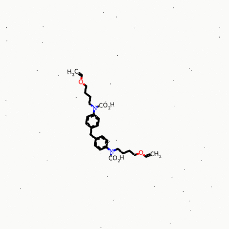 C=COCCCCN(C(=O)O)c1ccc(Cc2ccc(N(CCCCOC=C)C(=O)O)cc2)cc1